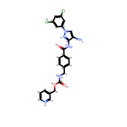 Nc1cn(-c2cc(Cl)cc(Cl)c2)nc1NC(=O)c1ccc(CNC(=O)OCc2cccnc2)cc1